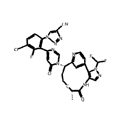 C[C@@H]1CCC[C@H](n2cnc(-c3c(-n4cc(C#N)nn4)ccc(Cl)c3F)cc2=O)c2cc(ccn2)-c2c(cnn2C(F)F)NC1=O